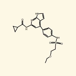 CCOCCS(=O)(=O)Nc1ccc(-c2cc(NC(=O)C3CC3)nc3[nH]ccc23)cc1